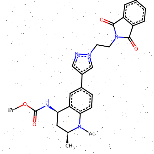 CC(=O)N1c2ccc(-c3cnn(CCN4C(=O)c5ccccc5C4=O)c3)cc2[C@H](NC(=O)OC(C)C)C[C@@H]1C